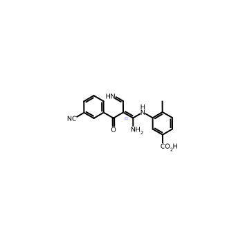 Cc1ccc(C(=O)O)cc1N/C(N)=C(\C=N)C(=O)c1cccc(C#N)c1